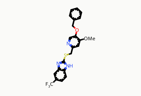 COc1cc(CSc2nc3cc(C(F)(F)F)ccc3[nH]2)ncc1OCc1ccccc1